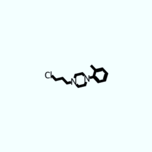 Cc1ccccc1N1CCN(CCCCl)CC1